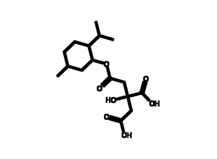 CC1CCC(C(C)C)C(OC(=O)CC(O)(CC(=O)O)C(=O)O)C1